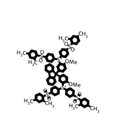 COc1ccc(C2(c3ccc(OC)c([S+](c4ccc(S(=O)(=O)c5ccc(C)cc5C)cc4)c4ccc(S(=O)(=O)c5ccc(C)cc5C)cc4)c3)c3ccccc3-c3ccccc32)cc1[S+](c1ccc(S(=O)(=O)c2ccc(C)cc2C)cc1)c1ccc(S(=O)(=O)c2ccc(C)cc2C)cc1